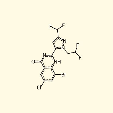 O=c1nc(-c2cc(C(F)F)nn2CC(F)F)[nH]c2c(Br)cc(Cl)cc12